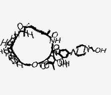 CO[C@H]1C#CO[C@@]2(C)Oc3c(C)c(O)c4c(=O)c(c5oc6cc(N7CCN(CCO)CC7)cc(O)c6nc-5c4c3C2=O)NC(=O)/C(C)=C\C=C\[C@]2(C)O[C@H]([C@@H](C)[C@@H](O)[C@@H](C)[C@H](O)[C@@H]1C)[C@H]2C